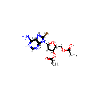 CC(=O)OC[C@H]1O[C@@H](n2c(Br)nc3c(N)ncnc32)CC1OC(C)=O